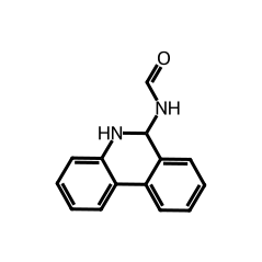 O=CNC1Nc2ccccc2-c2ccccc21